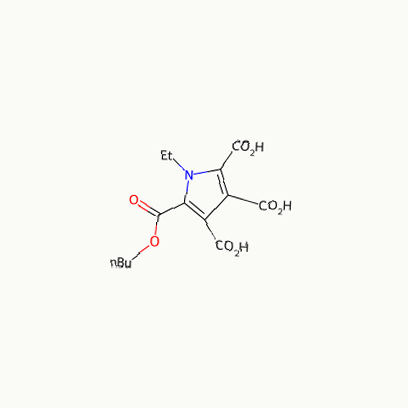 CCCCOC(=O)c1c(C(=O)O)c(C(=O)O)c(C(=O)O)n1CC